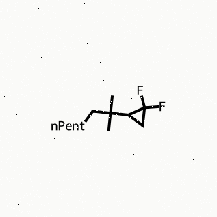 CCCCCCC(C)(C)C1CC1(F)F